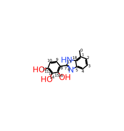 Cc1cccc2nc(-c3ccc(O)c(O)c3O)[nH]c12